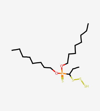 CCCCCCCCOP(=S)(OCCCCCCCC)C(CC)SSS